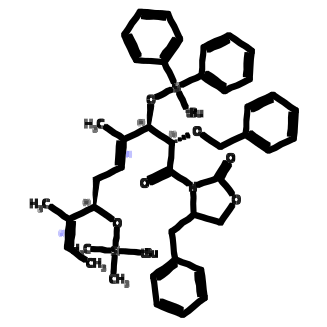 C/C=C(/C)[C@@H](C/C=C(\C)[C@@H](O[Si](c1ccccc1)(c1ccccc1)C(C)(C)C)[C@H](OCc1ccccc1)C(=O)N1C(=O)OCC1Cc1ccccc1)O[Si](C)(C)C(C)(C)C